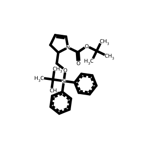 CC(C)(C)OC(=O)N1C=CCC1CO[Si](c1ccccc1)(c1ccccc1)C(C)(C)C